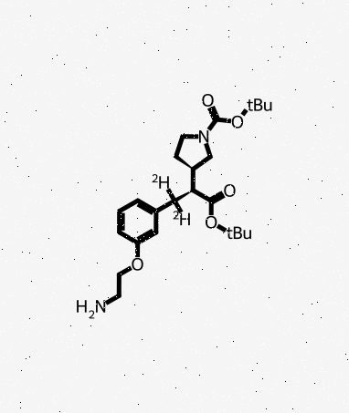 [2H]C([2H])(c1cccc(OCCN)c1)[C@H](C(=O)OC(C)(C)C)[C@H]1CCN(C(=O)OC(C)(C)C)C1